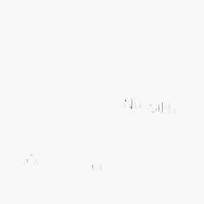 O=C([O-])c1ccccc1.[Na+].[SiH4]